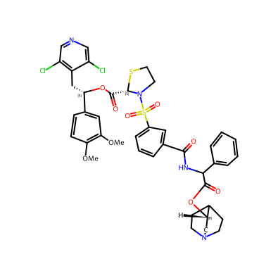 COc1ccc([C@H](Cc2c(Cl)cncc2Cl)OC(=O)[C@@H]2SCCN2S(=O)(=O)c2cccc(C(=O)NC(C(=O)O[C@H]3CN4CCC3CC4)c3ccccc3)c2)cc1OC